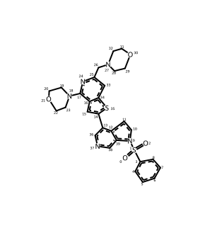 O=S(=O)(c1ccccc1)n1ccc2c(-c3cc4c(N5CCOCC5)nc(CN5CCOCC5)cc4s3)cncc21